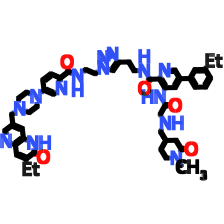 CCc1cccc(-c2cnc(C(=O)NCCc3cn(CCNC(=O)c4ccc(N5CCN(Cc6cnc7cc(CC)c(=O)[nH]c7c6)CC5)cn4)nn3)c(NC(=O)CNCC3CCN(C)C(=O)C3)c2)c1